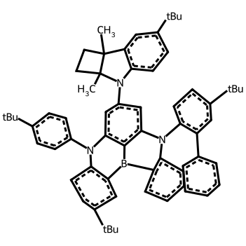 CC(C)(C)c1ccc(N2c3ccc(C(C)(C)C)cc3B3c4ccccc4N(c4ccc(C(C)(C)C)cc4-c4ccccc4)c4cc(N5c6ccc(C(C)(C)C)cc6C6(C)CCC56C)cc2c43)cc1